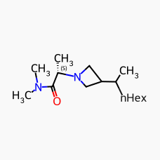 CCCCCCC(C)C1CN([C@@H](C)C(=O)N(C)C)C1